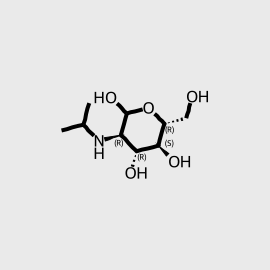 CC(C)N[C@H]1C(O)O[C@H](CO)[C@@H](O)[C@@H]1O